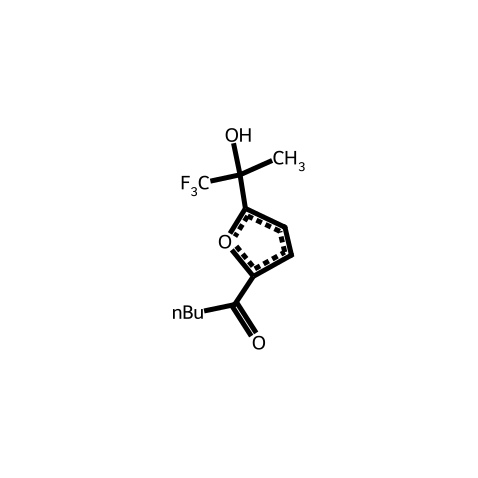 CCCCC(=O)c1ccc(C(C)(O)C(F)(F)F)o1